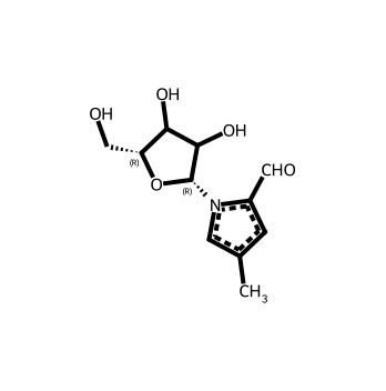 Cc1cc(C=O)n([C@@H]2O[C@H](CO)C(O)C2O)c1